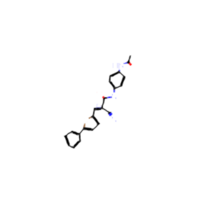 CC(=O)Nc1ccc(NC(=O)/C(C#N)=C/c2ccc(-c3ccccc3)s2)cc1